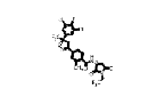 Cc1cc(C2=NOC(c3cc(Cl)c(F)c(Cl)c3)(C(F)(F)F)C2)ccc1C(=O)N[C@@H]1CC(=O)N(CC(F)(F)F)C1=O